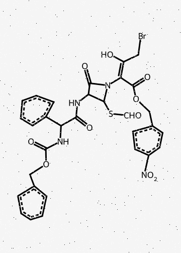 O=CSC1C(NC(=O)C(NC(=O)OCc2ccccc2)c2ccccc2)C(=O)N1C(C(=O)OCc1ccc([N+](=O)[O-])cc1)=C(O)CBr